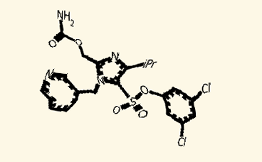 CC(C)c1nc(COC(N)=O)n(Cc2cccnc2)c1S(=O)(=O)Oc1cc(Cl)cc(Cl)c1